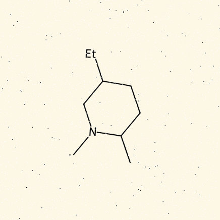 [CH2]N1CC(CC)CCC1C